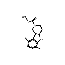 Cc1ccc(Cl)c2c1NC1CCN(C(=O)OC(C)(C)C)CC21